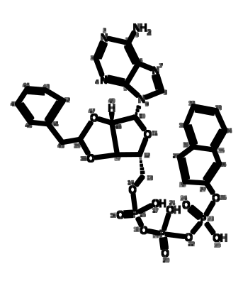 Nc1ncnc2c1ncn2[C@@H]1O[C@H](COP(=O)(O)OP(=O)(O)OP(=O)(O)Oc2ccc3ccccc3c2)C2OC(Cc3ccccc3)O[C@@H]21